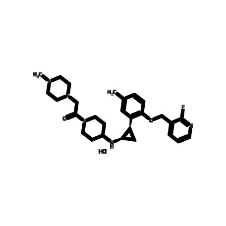 Cc1ccc(OCc2cccnc2F)c([C@@H]2C[C@H]2NC2CCN(C(=O)CN3CCN(C)CC3)CC2)c1.Cl